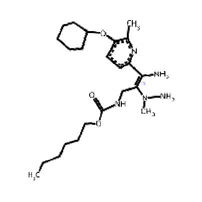 CCCCCCOC(=O)NC/C(=C(/N)c1ccc(OC2CCCCC2)c(C)n1)N(C)N